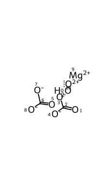 O.O=C([O-])[O-].O=C([O-])[O-].[Mg+2].[O+2]